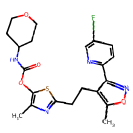 Cc1nc(CCc2c(-c3ccc(F)cn3)noc2C)sc1OC(=O)NC1CCOCC1